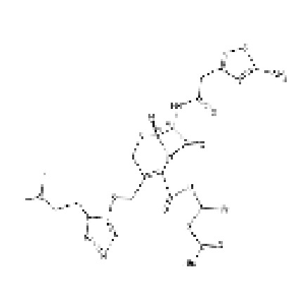 CCCCC(=O)OC(OC(=O)C1=C(CSc2nnnn2CCN(C)C)CS[C@@H]2[C@H](NC(=O)Cc3csc(N)n3)C(=O)N12)C(C)C